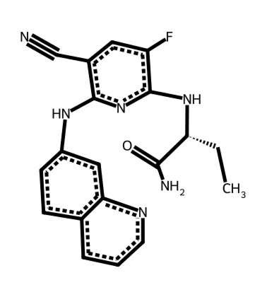 CC[C@@H](Nc1nc(Nc2ccc3cccnc3c2)c(C#N)cc1F)C(N)=O